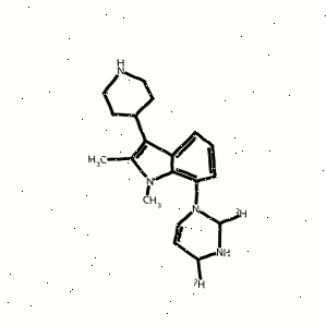 [2H]C1C=CN(c2cccc3c(C4CCNCC4)c(C)n(C)c23)C([2H])N1